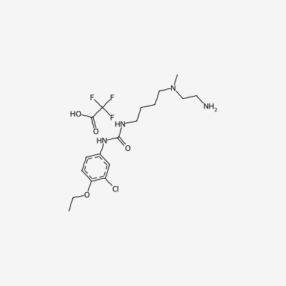 CCOc1ccc(NC(=O)NCCCCN(C)CCN)cc1Cl.O=C(O)C(F)(F)F